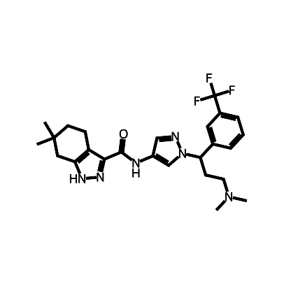 CN(C)CCC(c1cccc(C(F)(F)F)c1)n1cc(NC(=O)c2n[nH]c3c2CCC(C)(C)C3)cn1